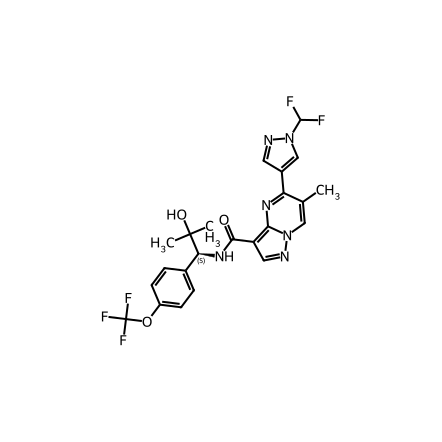 Cc1cn2ncc(C(=O)N[C@@H](c3ccc(OC(F)(F)F)cc3)C(C)(C)O)c2nc1-c1cnn(C(F)F)c1